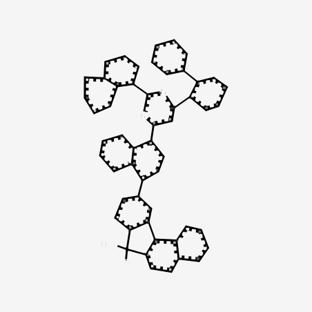 CC1(C)c2ccc(-c3ccc(-c4cc(-c5ccccc5-c5ccccc5)nc(-c5cccc6ccccc56)n4)c4ccccc34)cc2-c2c1ccc1ccccc21